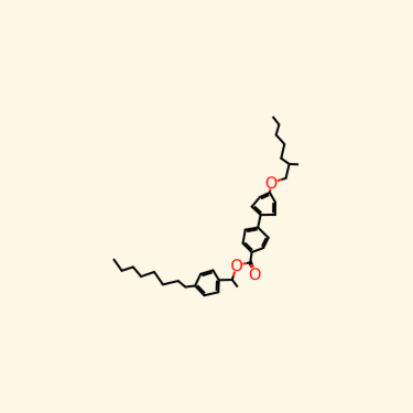 CCCCCCCCc1ccc(C(C)OC(=O)c2ccc(-c3ccc(OCC(C)CCCCC)cc3)cc2)cc1